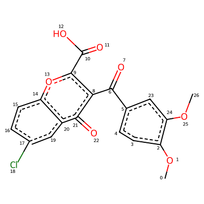 COc1ccc(C(=O)c2c(C(=O)O)oc3ccc(Cl)cc3c2=O)cc1OC